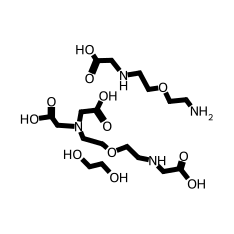 NCCOCCNCC(=O)O.O=C(O)CNCCOCCN(CC(=O)O)CC(=O)O.OCCO